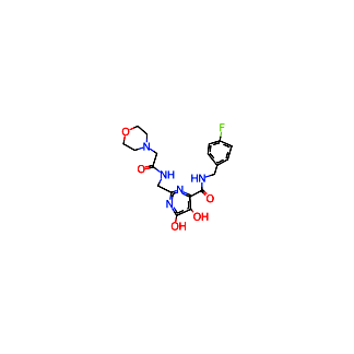 O=C(CN1CCOCC1)NCc1nc(O)c(O)c(C(=O)NCc2ccc(F)cc2)n1